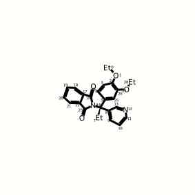 CCOc1ccc([C@](CC)(c2cccnc2)N2C(=O)c3ccccc3C2=O)cc1OCC